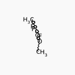 CCCCCCCCOc1ccc(OCc2ccc(-c3ccc(-c4ccc(C)cc4)c(F)c3F)cc2)c(F)c1